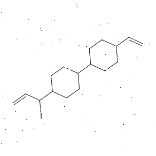 C=CC1CCC(C2CCC(C(I)C=C)CC2)CC1